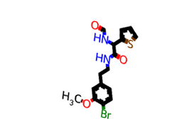 COc1cc(CCNC(=O)C(NC=O)c2cccs2)ccc1Br